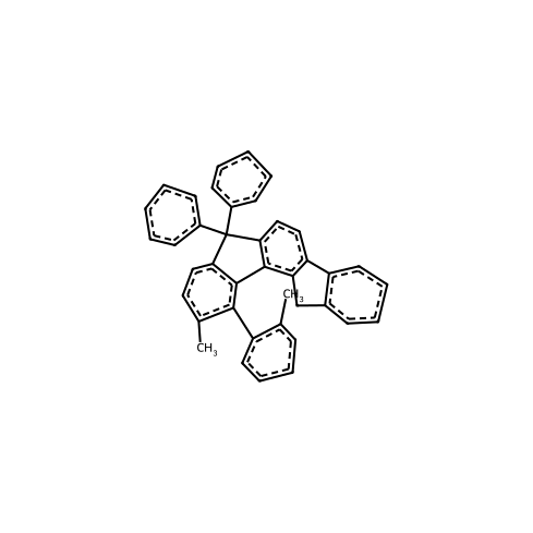 Cc1ccccc1-c1c(C)ccc2c1-c1c(ccc3c1Cc1ccccc1-3)C2(c1ccccc1)c1ccccc1